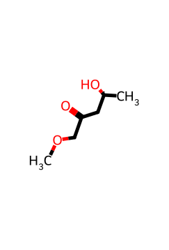 COCC(=O)C[C](C)O